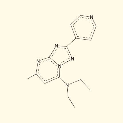 CCN(CC)c1cc(C)nc2nc(-c3ccncc3)nn12